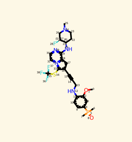 COc1cc(P(C)(C)=O)ccc1NCC#Cc1cc2c(N[C@@H]3CCN(C)C[C@@H]3F)nccn2c1SC(F)(F)F